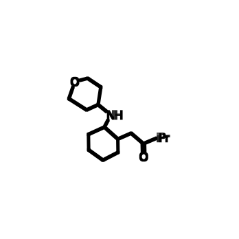 CC(C)C(=O)CC1CCCCC1NC1CCOCC1